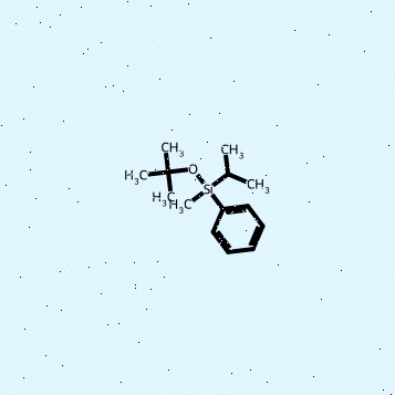 CC(C)[Si](C)(OC(C)(C)C)c1ccccc1